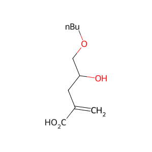 C=C(CC(O)COCCCC)C(=O)O